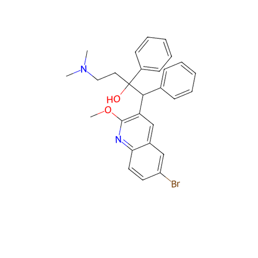 COc1nc2ccc(Br)cc2cc1C(c1ccccc1)C(O)(CCN(C)C)c1ccccc1